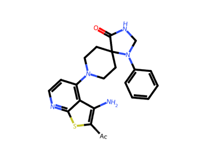 CC(=O)c1sc2nccc(N3CCC4(CC3)C(=O)NCN4c3ccccc3)c2c1N